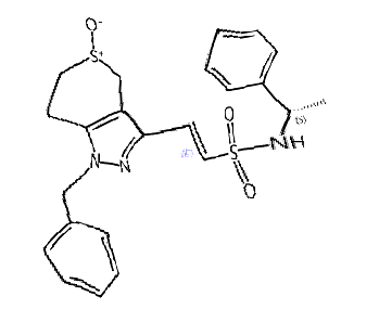 C[C@H](NS(=O)(=O)/C=C/c1nn(Cc2ccccc2)c2c1C[S+]([O-])CC2)c1ccccc1